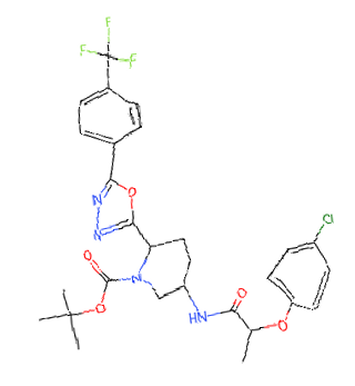 CC(Oc1ccc(Cl)cc1)C(=O)NC1CCC(c2nnc(-c3ccc(C(F)(F)F)cc3)o2)N(C(=O)OC(C)(C)C)C1